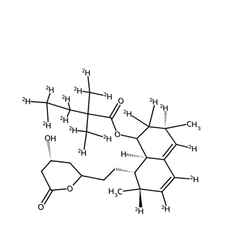 [2H]C1=C([2H])[C@]([2H])(C)[C@H](CCC2C[C@@H](O)CC(=O)O2)[C@@H]2C1=C([2H])[C@]([2H])(C)C([2H])([2H])C2OC(=O)C(C([2H])([2H])[2H])(C([2H])([2H])[2H])C([2H])([2H])C([2H])([2H])[2H]